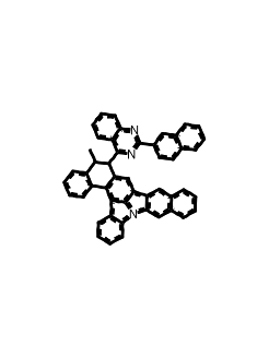 CC1c2ccccc2-c2c(cc3c4cc5ccccc5cc4n4c5ccccc5c2c34)C1c1nc(-c2ccc3ccccc3c2)nc2ccccc12